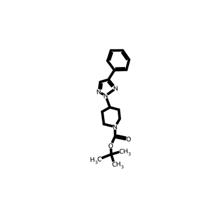 CC(C)(C)OC(=O)N1CCC(n2ncc(-c3ccccc3)n2)CC1